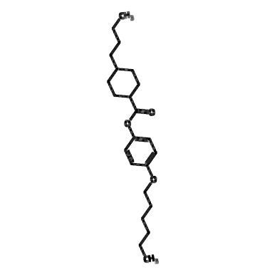 CCCCCCOc1ccc(OC(=O)C2CCC(CCCC)CC2)cc1